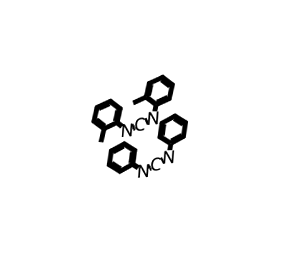 C(=Nc1ccccc1)=Nc1ccccc1.Cc1ccccc1N=C=Nc1ccccc1C